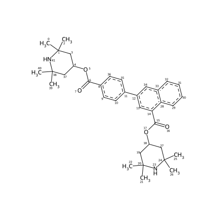 CC1(C)CC(OC(=O)c2ccc(-c3cc(C(=O)OC4CC(C)(C)NC(C)(C)C4)c4ccccc4c3)cc2)CC(C)(C)N1